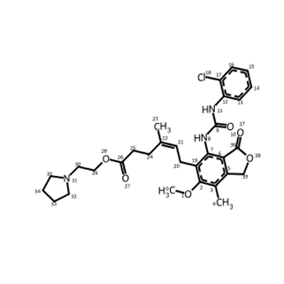 COc1c(C)c2c(c(NC(=O)Nc3ccccc3Cl)c1CC=C(C)CCC(=O)OCCN1CCCC1)C(=O)OC2